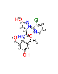 Cc1cc(O)cc(C=O)c1NC(=O)c1cc(O)nn1-c1ncccc1Cl